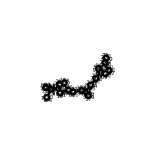 c1ccc(-c2nc(-n3c4cccc5c4c4c6c(cccc6ccc43)-c3cc4cc(-c6ccc7c(c6)c6ccccc6n7-c6ccc(-c7ccc(-n8c9cccc%10c9c9c%11c(cccc%11ccc98)-c8cc9ccccc9cc8-%10)cc7)cc6)ccc4cc3-5)nc3ccccc23)cc1